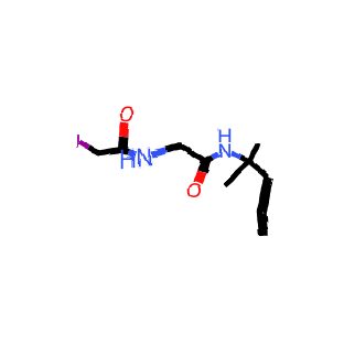 C=C=CC(C)(C)NC(=O)CNC(=O)CI